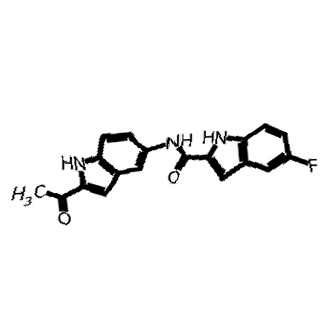 CC(=O)c1cc2cc(NC(=O)c3cc4cc(F)ccc4[nH]3)ccc2[nH]1